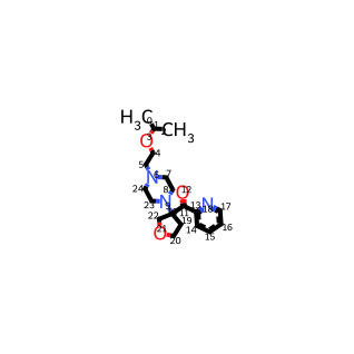 CC(C)OCCN1CCN(C2(C(=O)c3ccccn3)CCOC2)CC1